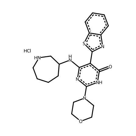 Cl.O=c1[nH]c(N2CCOCC2)nc(NC2CCCCNC2)c1-c1nc2ccccc2s1